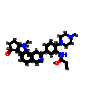 C=CC(=O)Nc1cc(-c2cc3c(ccc4c5c(n(C)c43)CCC5=O)cn2)ccc1N1CCN(C)CC1